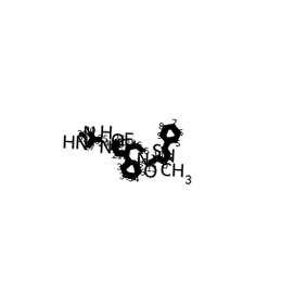 Cc1nc(-c2ccccc2)sc1C(=O)N1CCC(F)(F)C(=CC(=O)NCc2c[nH]cn2)c2ccccc21